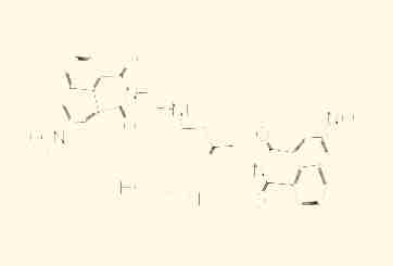 CS(=O)(=O)O.O=C1c2cccc3cc([N+](=O)[O-])cc(c23)C(=O)N1CCNCCC(=S)CCN1C(=O)c2cccc3cc([N+](=O)[O-])cc(c23)C1=O